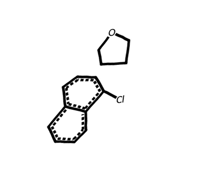 C1CCOC1.Clc1cccc2ccccc12